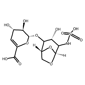 O=C(O)C1=C[C@H](O)[C@@H](O)[C@H](OC2[C@H](O)C(NS(=O)(=O)O)[C@H]3OC[C@H]2O3)O1